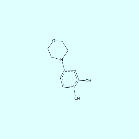 N#Cc1ccc(N2CCOCC2)cc1O